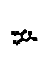 C=C(CC(CC)CC)C(N)=O